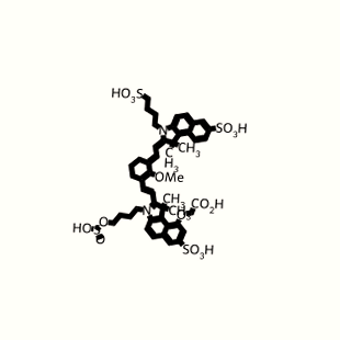 COC1=C(/C=C/C2=[N+](CCCCOS(=O)O)c3ccc4cc(S(=O)(=O)O)cc(OCC(=O)O)c4c3C2(C)C)CCC/C1=C\C=C1\N(CCCCS(=O)(=O)O)c2ccc3cc(S(=O)(=O)O)ccc3c2C1(C)C